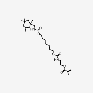 C=C(C)C(=O)OCCNC(=O)OCCCCCCCOC(=O)NCC1(C)CC(C)CC(C)(C)C1